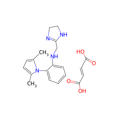 Cc1ccc(C)n1-c1ccccc1NCC1=NCCN1.O=C(O)C=CC(=O)O